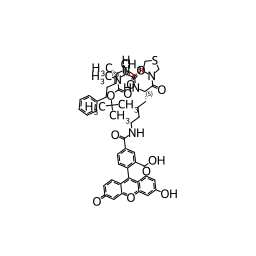 C[C@@H](CCCc1ccccc1)NC(=O)[C@@H]1CSCN1C(=O)[C@H](CCCCNC(=O)c1ccc(-c2c3ccc(=O)cc-3oc3cc(O)ccc23)c(C(=O)O)c1)NC(=O)[C@H](C)N(C)C(=O)OC(C)(C)C